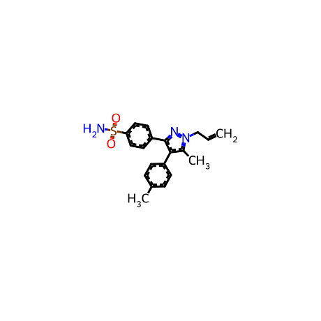 C=CCn1nc(-c2ccc(S(N)(=O)=O)cc2)c(-c2ccc(C)cc2)c1C